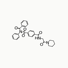 O=C(NCC(=O)N1CCCCC1)c1ccc(S(=O)(=O)N(C(=O)c2ccccc2)c2ccccc2)cc1